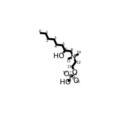 CCCCCCC(O)C[N+](C)(C)CCOP(=O)([O-])O